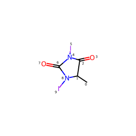 CC1C(=O)N(I)C(=O)N1I